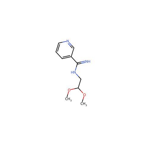 COC(CNC(=N)c1cccnc1)OC